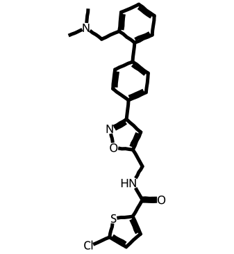 CN(C)Cc1ccccc1-c1ccc(-c2cc(CNC(=O)c3ccc(Cl)s3)on2)cc1